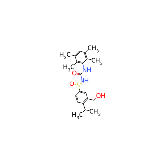 Cc1cc(C)c(C)c(NC(=O)N[S+]([O-])c2ccc(C(C)C)c(CO)c2)c1C